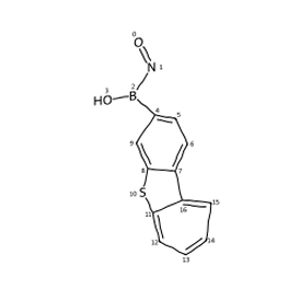 O=NB(O)c1ccc2c(c1)sc1ccccc12